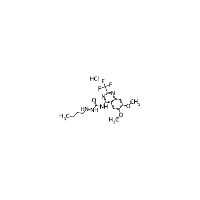 CCCCNNC(=O)Nc1nc(C(F)(F)F)nc2cc(OC)c(OC)cc12.Cl